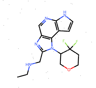 CCNCc1nc2cnc3[nH]ccc3c2n1C1COCCC1(F)F